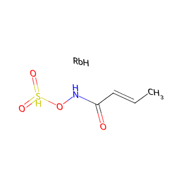 CC=CC(=O)NO[SH](=O)=O.[RbH]